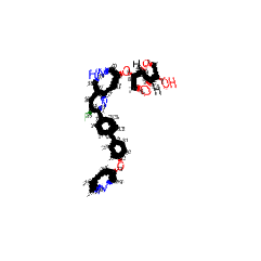 O[C@@H]1CO[C@H]2[C@@H]1OC[C@H]2OC1=CC2=NC(c3ccc(-c4ccc(Oc5cccnc5)cc4)cc3)C(F)C=C2CNC1